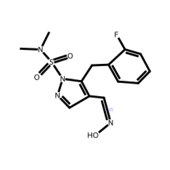 CN(C)S(=O)(=O)n1ncc(/C=N\O)c1Cc1ccccc1F